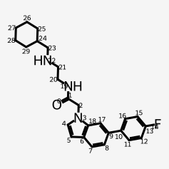 O=C(Cn1ccc2ccc(-c3ccc(F)cc3)cc21)NCCNCC1CCCCC1